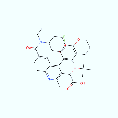 CCN(C(=O)/C(C)=C/c1c(C)nc(C)c([C@H](OC(C)(C)C)C(=O)O)c1-c1cc(F)c2c(c1C)CCCO2)C1CCCCC1